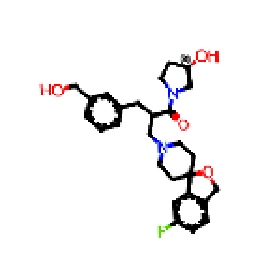 O=C(C(Cc1cccc(CO)c1)CN1CCC2(CC1)OCc1ccc(F)cc12)N1CC[C@@H](O)C1